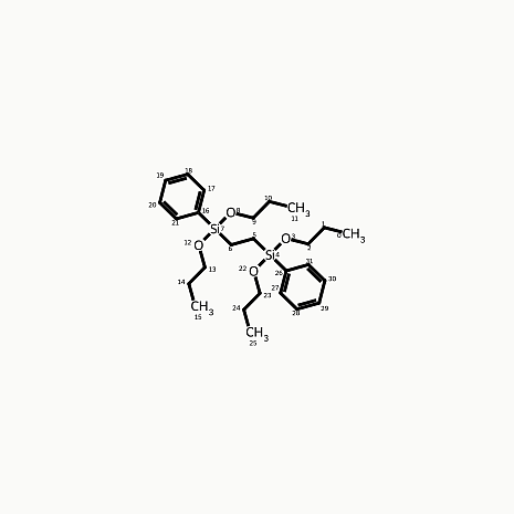 CCCO[Si](CC[Si](OCCC)(OCCC)c1ccccc1)(OCCC)c1ccccc1